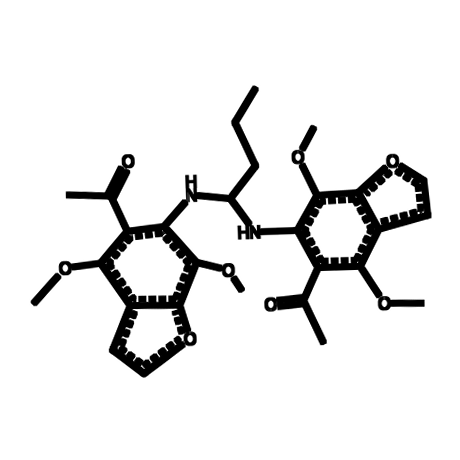 CCCC(Nc1c(C(C)=O)c(OC)c2ccoc2c1OC)Nc1c(C(C)=O)c(OC)c2ccoc2c1OC